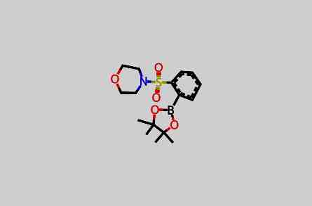 CC1(C)OB(c2ccccc2S(=O)(=O)N2CCOCC2)OC1(C)C